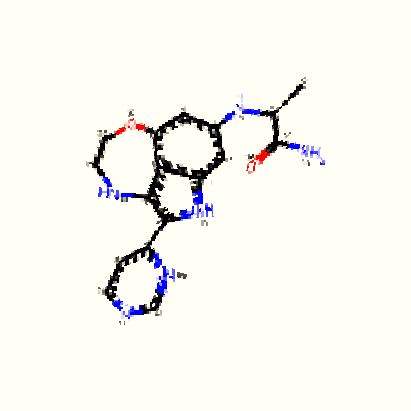 C[C@H](Nc1cc2c3c(c(-c4ccncn4)[nH]c3c1)NCCO2)C(N)=O